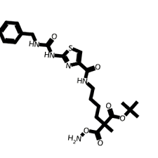 CC(C)(C)OC(=O)C(C)(CCCCNC(=O)c1csc(NC(=O)NCc2ccccc2)n1)C(=O)ON